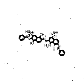 Cc1c(N=Nc2cc(S(=O)(=O)O)c3ccc(N=Nc4ccccc4)c(O)c3c2N)ccc2c(O)c(N=Nc3ccccc3)c(S(=O)(=O)O)cc12